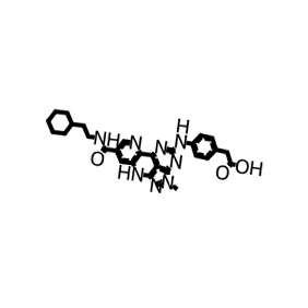 Cn1nc2c3c(nc(Nc4ccc(CC(=O)O)cc4)nc31)-c1ncc(C(=O)NCCC3CCCCC3)cc1N2